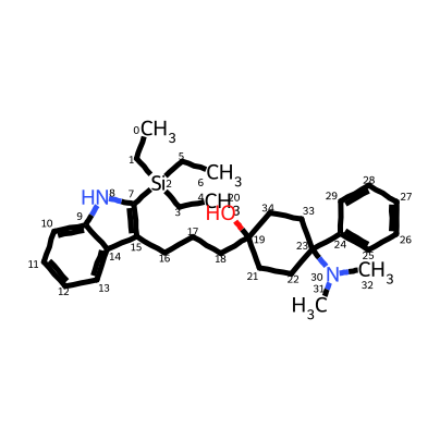 CC[Si](CC)(CC)c1[nH]c2ccccc2c1CCCC1(O)CCC(c2ccccc2)(N(C)C)CC1